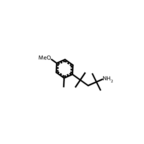 COc1ccc(C(C)(C)CC(C)(C)N)c(C)c1